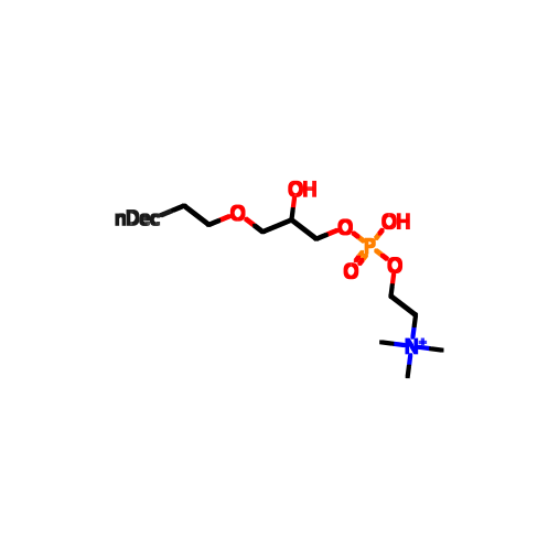 CCCCCCCCCCCCOCC(O)COP(=O)(O)OCC[N+](C)(C)C